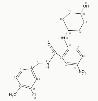 Cc1ccc(CNC(=O)c2cc([N+](=O)[O-])ccc2N[C@H]2CC[C@@H](O)CC2)cc1Cl